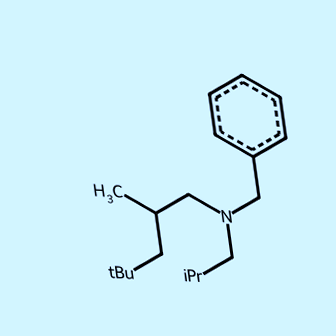 CC(C)CN(Cc1ccccc1)CC(C)CC(C)(C)C